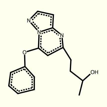 CC(O)CCc1cc(Oc2ccccc2)n2nccc2n1